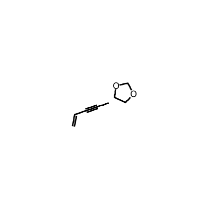 C1COCO1.C=CC#CC